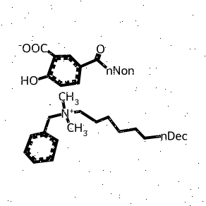 CCCCCCCCCC(=O)c1ccc(O)c(C(=O)[O-])c1.CCCCCCCCCCCCCCCC[N+](C)(C)Cc1ccccc1